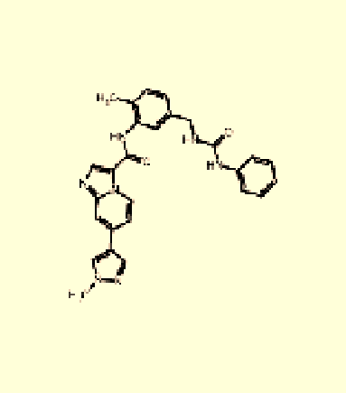 Cc1ccc(CNC(=O)Nc2ccccc2)cc1NC(=O)c1cnc2cc(-c3cnn(C)c3)ccn12